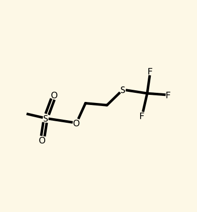 CS(=O)(=O)OCCSC(F)(F)F